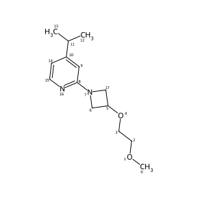 COCCOC1CN(c2cc(C(C)C)ccn2)C1